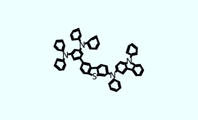 c1ccc(N(c2ccccc2)c2cc(-c3ccc4sc5cc(N(c6ccccc6)c6ccc7c(c6)c6ccccc6n7-c6ccccc6)ccc5c4c3)cc(N(c3ccccc3)c3ccccc3)c2)cc1